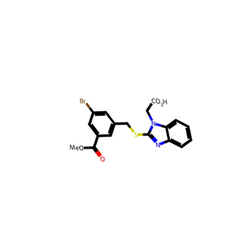 COC(=O)c1cc(Br)cc(CSc2nc3ccccc3n2CC(=O)O)c1